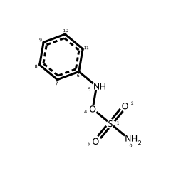 NS(=O)(=O)ONc1ccccc1